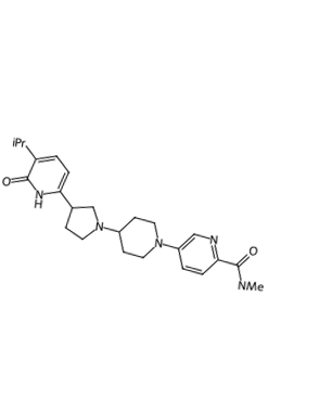 CNC(=O)c1ccc(N2CCC(N3CCC(c4ccc(C(C)C)c(=O)[nH]4)C3)CC2)cn1